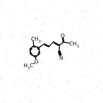 COc1ccc(C)c(/C=C/C=C(\C#N)C(C)=O)c1